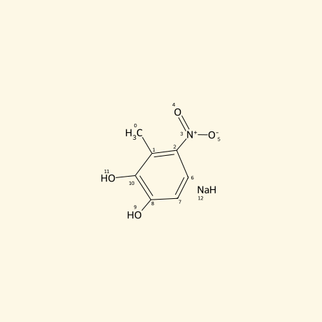 Cc1c([N+](=O)[O-])ccc(O)c1O.[NaH]